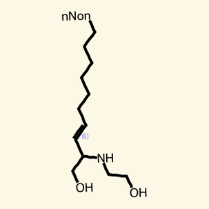 CCCCCCCCCCCCCCC/C=C/C(CO)NCCO